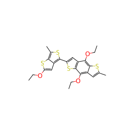 CCOc1cc2c(-c3cc4c(OCC)c5sc(C)cc5c(OCC)c4s3)sc(C)c2s1